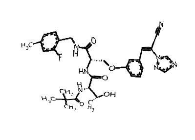 Cc1ccc(CNC(=O)[C@H](COc2cccc(C=C(C#N)n3cncn3)c2)NC(=O)[C@@H](NC(=O)C(C)(C)C)[C@@H](C)O)c(F)c1